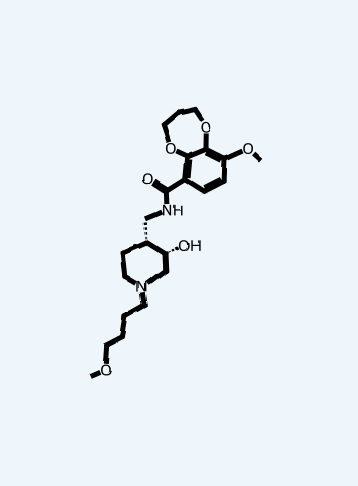 COCCCCN1CC[C@H](CNC(=O)c2ccc(OC)c3c2OCCCO3)[C@H](O)C1